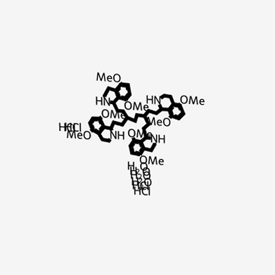 COc1ccc(OC)c2c1CCNC2CCC(CCC(CCC1NCCc2c(OC)ccc(OC)c21)CCC1NCCc2c(OC)ccc(OC)c21)CCC1NCCc2c(OC)ccc(OC)c21.Cl.Cl.Cl.Cl.O.O.O.O